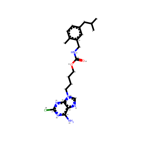 Cc1ccc(CC(C)C)cc1CNC(=O)OCCCCn1cnc2c(N)nc(Cl)nc21